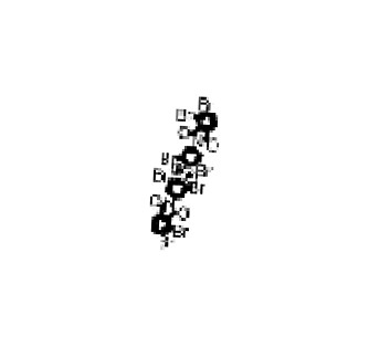 O=C1c2ccc(Br)c(Br)c2C(=O)N1c1cc(Br)c(S(=O)(=O)c2c(Br)cc(N3C(=O)c4ccc(Br)c(Br)c4C3=O)cc2Br)c(Br)c1